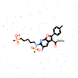 CNC(=O)c1c(-c2ccc(C)cc2)oc2nc(N(CCCCCP(C)(=O)O)S(C)(=O)=O)c(I)cc12